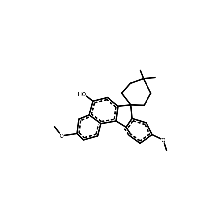 COc1ccc2c(c1)C1(CCC(C)(C)CC1)c1cc(O)c3cc(OC)ccc3c1-2